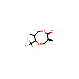 C=C1COC(C(F)(F)F)C(C)COC1=O